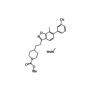 CNC.Cc1c(-c2cccc(C#N)c2)ccc2c(CCC3CCN(C(=O)OC(C)(C)C)CC3)noc12